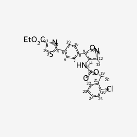 CCOC(=O)c1csc(-c2ccc(-c3onc(C)c3NC(=O)OC(C)c3ccccc3Cl)cc2)n1